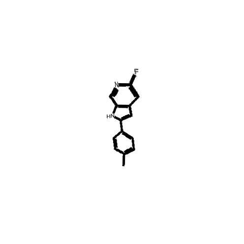 Cc1ccc(-c2cc3cc(F)ncc3[nH]2)cc1